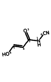 N#CNC(=O)C=CO